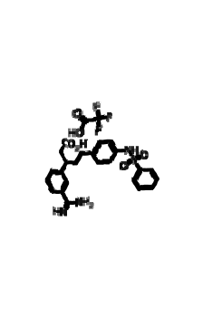 N=C(N)c1cccc(C(CCc2ccc(NS(=O)(=O)c3ccccc3)cc2)CC(=O)O)c1.O=C(O)C(F)(F)F